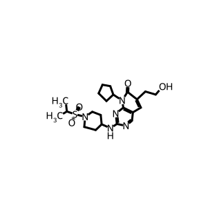 CC(C)S(=O)(=O)N1CCC(Nc2ncc3cc(CCO)c(=O)n(C4CCCC4)c3n2)CC1